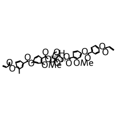 C=CC(=O)Oc1ccc(C(=O)Oc2ccc(C(=O)O[C@H]3CO[C@H]4[C@@H]3OC[C@H]4OC(=O)c3ccc(OC(=O)c4ccc(OC(=O)C=C)c(C)c4)cc3OC)c(OC)c2)cc1